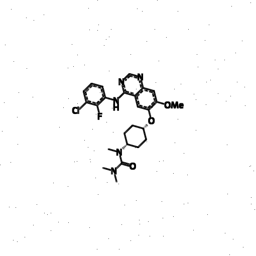 COc1cc2ncnc(Nc3cccc(Cl)c3F)c2cc1O[C@H]1CC[C@@H](N(C)C(=O)N(C)C)CC1